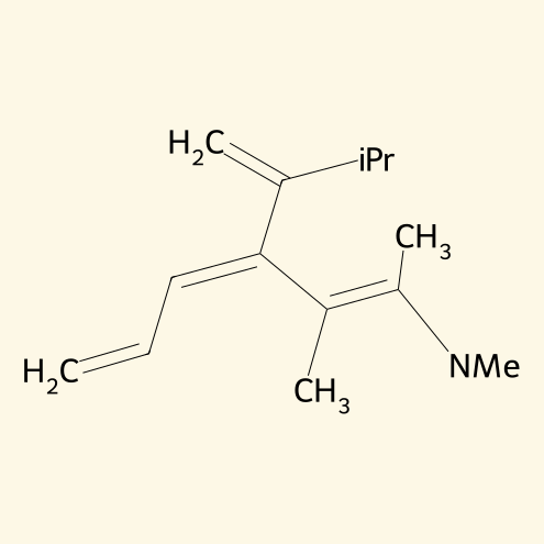 C=C/C=C(C(=C)C(C)C)\C(C)=C(/C)NC